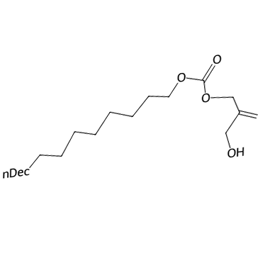 C=C(CO)COC(=O)OCCCCCCCCCCCCCCCCCC